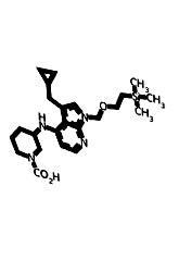 C[Si](C)(C)CCOCn1cc(CC2CC2)c2c(NC3CCCN(C(=O)O)C3)ccnc21